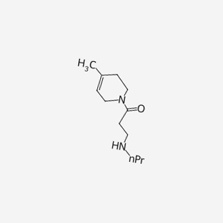 CCCNCCC(=O)N1CC=C(C)CC1